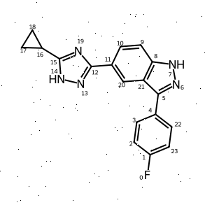 Fc1ccc(-c2n[nH]c3ccc(-c4n[nH]c(C5CC5)n4)cc23)cc1